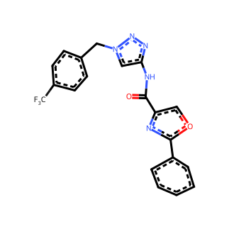 O=C(Nc1cn(Cc2ccc(C(F)(F)F)cc2)nn1)c1coc(-c2ccccc2)n1